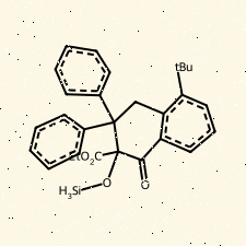 CCOC(=O)C1(O[SiH3])C(=O)c2cccc(C(C)(C)C)c2CC1(c1ccccc1)c1ccccc1